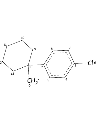 [CH2]C1(c2ccc(Cl)cc2)CCCCC1